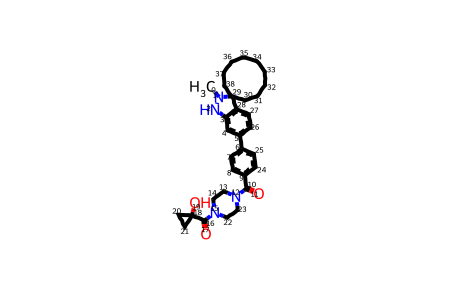 CN1Nc2cc(-c3ccc(C(=O)N4CCN(C(=O)C5(O)CC5)CC4)cc3)ccc2C12CCCCCCCCC2